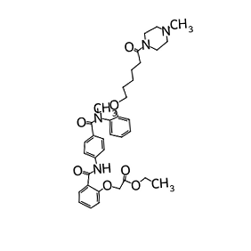 CCOC(=O)COc1ccccc1C(=O)Nc1ccc(C(=O)N(C)c2ccccc2OCCCCCC(=O)N2CCN(C)CC2)cc1